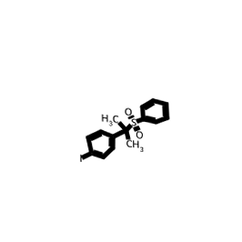 CC(C)(c1ccc(I)cc1)S(=O)(=O)c1ccccc1